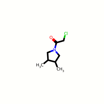 CC1CN(C(=O)CCl)CC1C